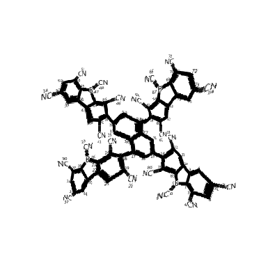 N#CB1c2c(C#N)cc(C#N)cc2-c2cc(C#N)c(-c3cc(-c4c(C#N)cc5c(c4C#N)B(C#N)c4c(C#N)cc(C#N)cc4-5)c4cc(-c5c(C#N)cc6c(c5C#N)B(C#N)c5c(C#N)cc(C#N)cc5-6)cc(-c5c(C#N)cc6c(c5C#N)B(C#N)c5c(C#N)cc(C#N)cc5-6)c4c3)c(C#N)c21